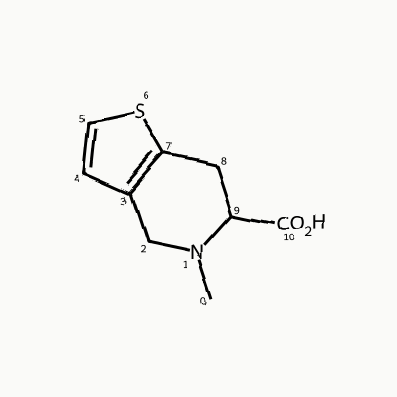 CN1Cc2ccsc2CC1C(=O)O